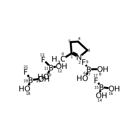 CC1=NCCC1.OB(O)F.OB(O)F.OB(O)F.OB(O)F